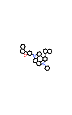 c1ccc(-n2c3ccc(-c4cccc5ccccc45)c4c3c3c5c(ccc6c5c5c-4cccc5n6-c4ccc5c(c4)oc4ccc6ccccc6c45)ccc32)cc1